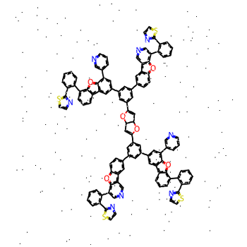 C1=C(c2cc(-c3ccc4oc5c(-c6ccccc6-c6nccs6)cncc5c4c3)cc(-c3cc(-c4cccnc4)c4oc5c(-c6ccccc6-c6nccs6)cccc5c4c3)c2)OC2C=C(c3cc(-c4ccc5oc6c(-c7ccccc7-c7nccs7)cncc6c5c4)cc(-c4cc(-c5cccnc5)c5oc6c(-c7ccccc7-c7nccs7)cccc6c5c4)c3)OC12